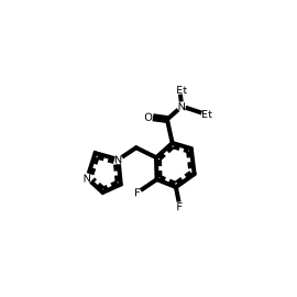 CCN(CC)C(=O)c1ccc(F)c(F)c1Cn1ccnc1